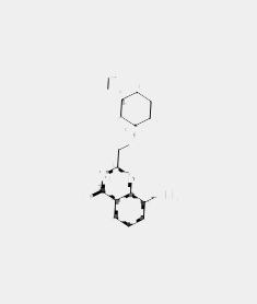 Cc1cccc2c(=O)[nH]c(CS[C@@H]3CCC[C@@H](CO)C3)nc12